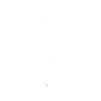 COc1nc(OC2CCC3(CC2)CN(C(=O)[C@H]2C[C@@](C)(O)C2)C3)ccc1C